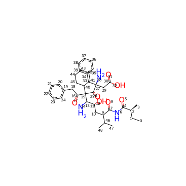 CC[C@H](C)C(=O)NC(=O)C(CC(O)C(N)C(C(=O)Cc1ccccc1)(C(=O)[C@@](N)(CC(=O)O)Cc1ccccc1)C1CCCCC1)C(C)C